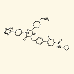 Cc1cc(C(=O)NC2CCC2)ccc1-c1ccc(CC(NC(=O)C2CCC(CN)CC2)C(=O)Nc2ccc(-c3nnn[nH]3)cc2)cc1